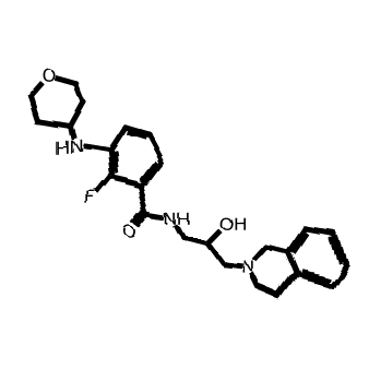 O=C(NCC(O)CN1CCc2ccccc2C1)c1cccc(NC2CCOCC2)c1F